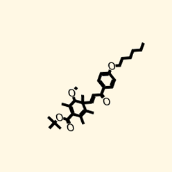 CCCCCCOc1ccc(C(=O)C=CC2(C)C(C)=C(C)C(C(=O)OC(C)(C)C)=C(C)C2OC)cc1